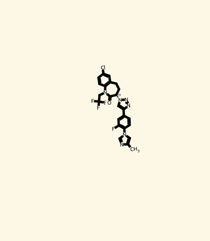 Cc1cn(-c2ccc(-c3cn([C@H]4CCc5cc(Cl)ccc5N(CC(F)(F)F)C4=O)nn3)cc2F)cn1